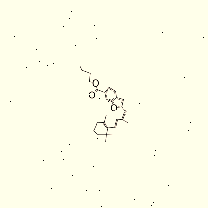 CCCCOC(=O)c1ccc2cc(C=C(C)C=CC3=C(C)CCCC3(C)C)oc2c1